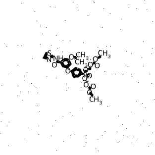 CCOC(=O)OCOP(=O)(OCOC(=O)OCC)c1ccc(Oc2cc(OC(C)C)cc(C(=O)Nc3nccs3)c2)cc1